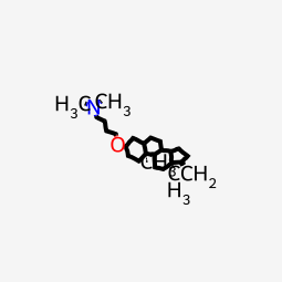 C=C1CCC2C3CCC4C[C@@H](OCCCCN(C)C)CC[C@]4(C)C3CC[C@]12C